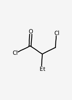 CCC(CCl)C(=O)Cl